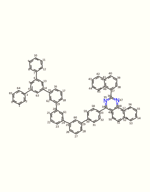 c1ccc(-c2cc(-c3ccccc3)cc(-c3cccc(-c4cccc(-c5cccc(-c6ccc(-c7nc(-c8cccc9ccccc89)nc8c7ccc7ccccc78)cc6)c5)c4)c3)c2)cc1